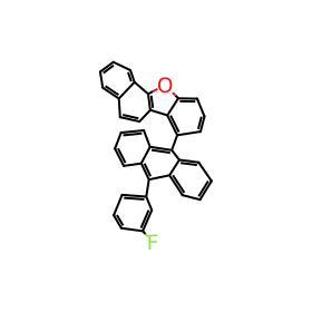 Fc1cccc(-c2c3ccccc3c(-c3cccc4oc5c6ccccc6ccc5c34)c3ccccc23)c1